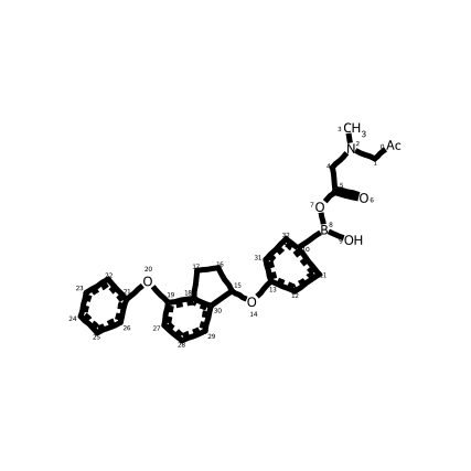 CC(=O)CN(C)CC(=O)OB(O)c1ccc(OC2CCc3c(Oc4ccccc4)cccc32)cc1